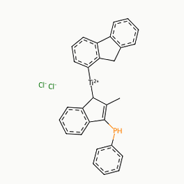 CC1=C(Pc2ccccc2)c2ccccc2[CH]1[Ti+2][c]1cccc2c1Cc1ccccc1-2.[Cl-].[Cl-]